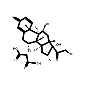 C[C@@H]1C[C@H]2[C@H]3[C@H]([C@@H](O)C[C@]2(C)[C@@]1(O)C(=O)CO)[C@@]1(C)C=CC(=O)C=C1C[C@H]3Cl.O=C(O)CC(=O)O